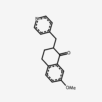 COc1ccc2c(c1)C(=O)C(Cc1ccncc1)CC2